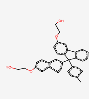 Cc1ccc(C2(c3ccc4cc(OCCO)ccc4c3)c3ccccc3-c3cc(OCCO)ccc32)cc1